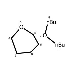 C1CCOCC1.CCCCOCCCC